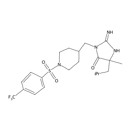 CC(C)CC1(C)NC(=N)N(CC2CCN(S(=O)(=O)c3ccc(C(F)(F)F)cc3)CC2)C1=O